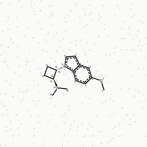 COc1ccc2c(ccn2[C@H]2CC[C@@H]2N(C)C)c1